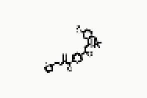 COc1ccc2c(c1)/C(=C/C(=O)c1ccc(C(=O)NCCc3cccs3)cc1)NC(C)(C)C2